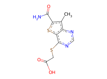 Cc1c(C(N)=O)sc2c(SCC(=O)O)ncnc12